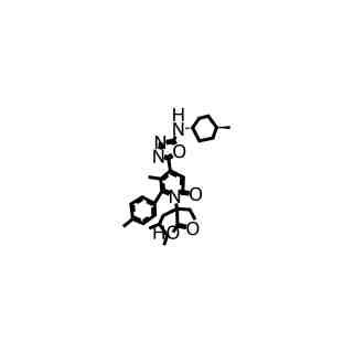 CCC(C)CC(CC)(C(=O)O)n1c(-c2ccc(C)cc2)c(C)c(-c2nnc(N[C@H]3CC[C@H](C)CC3)o2)cc1=O